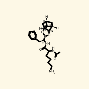 CC(=O)NC(CCCCN)C(=O)N[C@@H](Cc1ccccc1)B1O[C@@H]2C[C@@H]3C[C@@H](C3(C)C)[C@]2(C)O1